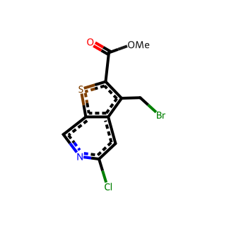 COC(=O)c1sc2cnc(Cl)cc2c1CBr